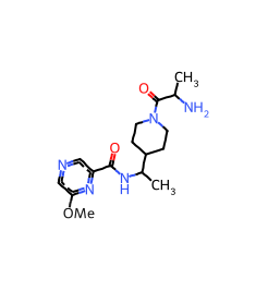 COc1cncc(C(=O)NC(C)C2CCN(C(=O)C(C)N)CC2)n1